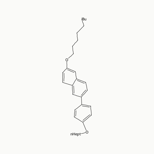 CCCCCCCOc1ccc(-c2ccc3cc(OCCCCCC(C)CC)ccc3c2)cc1